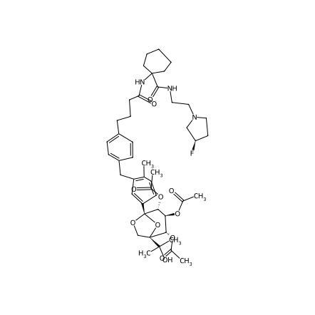 CC(=O)O[C@@H]1[C@@H](OC(C)=O)[C@@]2(c3ccc(C)c(Cc4ccc(CCCC(=O)NC5(C(=O)NCCN6CC[C@@H](F)C6)CCCCC5)cc4)c3)OC[C@](C(C)(C)O)(O2)[C@H]1OC(C)=O